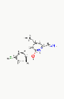 [CH2]c1cc(C#N)nc(Oc2ccc(F)cc2)c1